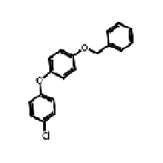 Clc1ccc(Oc2[c]cc(OCc3ccccc3)cc2)cc1